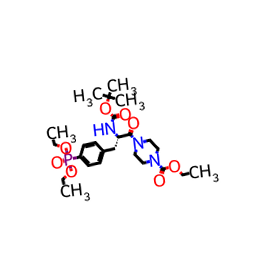 CCOC(=O)N1CCN(C(=O)[C@H](Cc2ccc(P(=O)(OCC)OCC)cc2)NC(=O)OC(C)(C)C)CC1